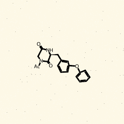 CC(=O)N1CC(=O)N[C@@H](Cc2cccc(Oc3ccccc3)c2)C1=O